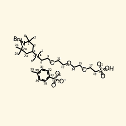 CC1(C)CC([N+](C)(C)CCOCCOCCOCCS(=O)(=O)O)CC(C)(C)N1Br.Cc1ccc(S(=O)(=O)[O-])cc1